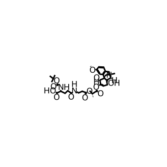 COc1ccc2c3c1O[C@H]1C(OC(=O)[C@H](C)OC(=O)CCNC(=O)CCC(NC(=O)OC(C)(C)C)C(=O)O)=CC[C@@]4(O)[C@@H](C2)N(C)CC[C@]314